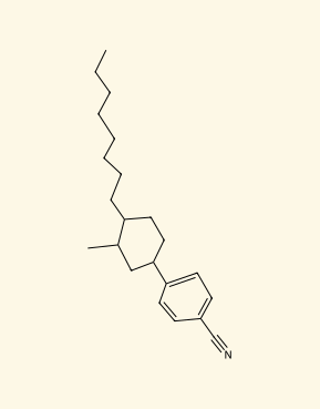 CCCCCCCCC1CCC(c2ccc(C#N)cc2)CC1C